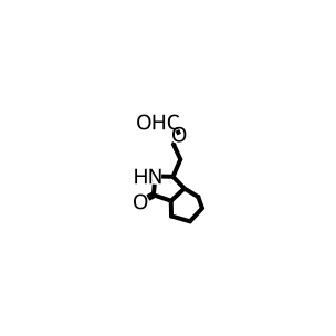 O=COCCC1NC(=O)C2CCCCC12